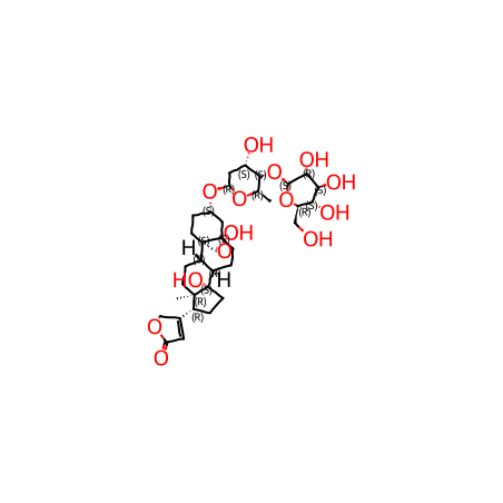 C[C@H]1O[C@@H](O[C@H]2CC[C@]3(C=O)[C@H]4CC[C@]5(C)[C@@H](C6=CC(=O)OC6)CC[C@]5(O)[C@@H]4CC[C@]3(O)C2)C[C@H](O)[C@@H]1O[C@@H]1O[C@H](CO)[C@@H](O)[C@H](O)[C@H]1O